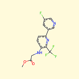 COC(=O)CNc1ccc(-c2cncc(F)c2)nc1C(F)(F)F